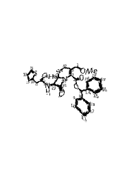 COCC1=C(C(=O)OC(c2ccccc2)c2ccccc2)N2C(=O)C(NC(=O)Cc3cccs3)[C@H]2SC1